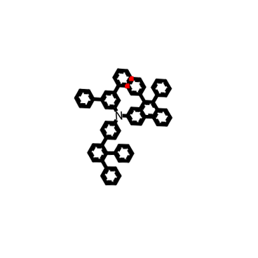 c1ccc(-c2cc(-c3ccccc3)cc(N(c3ccc(-c4cccc(-c5ccccc5)c4-c4ccccc4)cc3)c3ccc4c(c3)c(-c3ccccc3)c(-c3ccccc3)c3ccccc34)c2)cc1